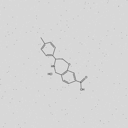 Cc1ccc(C2COc3cc(C(=O)O)ccc3CN2)cc1.Cl